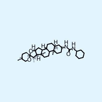 C[C@H]1CC[C@@]2(OC1)O[C@H]1CC3[C@@H]4CC[C@@H]5C[C@@H](NC(=O)NC6CCCCC6)CC[C@]5(C)C4CC[C@]3(C)[C@H]1[C@@H]2C